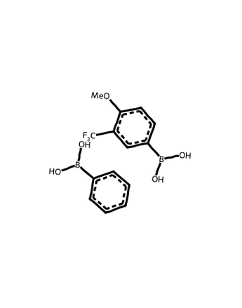 COc1ccc(B(O)O)cc1C(F)(F)F.OB(O)c1ccccc1